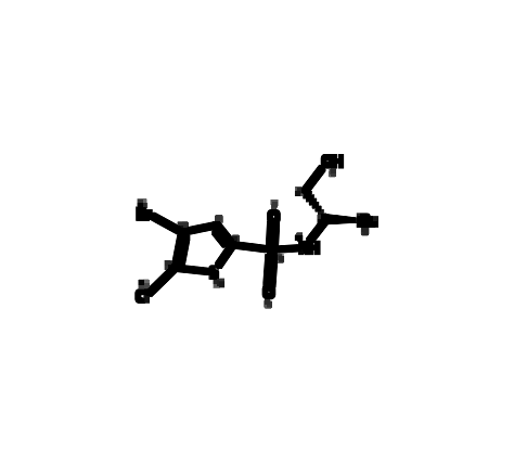 CC[C@H](C)[C@@H](CO)NS(=O)(=O)c1cc(Br)c(Cl)s1